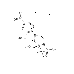 COC[C@@]1(C(C)(C)C)CN(c2ccc([N+](=O)[O-])cc2CO)CCN1C(=O)O